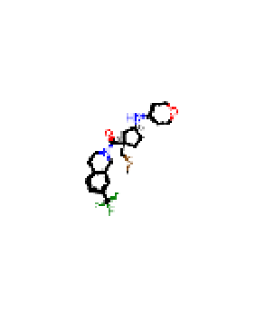 CSC[C@]1(C(=O)N2CCc3ccc(C(F)(F)F)cc3C2)CC[C@@H](NC2CCOCC2)C1